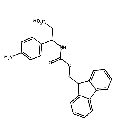 Nc1ccc(C(CC(=O)O)NC(=O)OCC2c3ccccc3-c3ccccc32)cc1